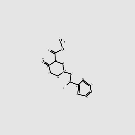 COC(=O)C1CN(CC(F)c2ccccc2)CCC1=O